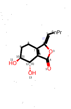 CCC/C=C1\OC(=O)C2=C1CC[C@H](O)[C@H]2O